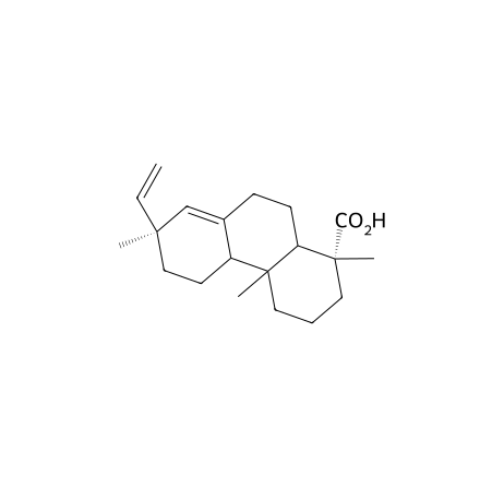 C=C[C@@]1(C)C=C2CCC3C(C)(CCC[C@@]3(C)C(=O)O)C2CC1